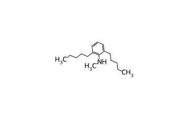 CCCCCc1cccc(CCCCC)c1NC